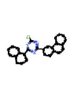 Clc1nc(-c2ccc3ccc4ccccc4c3c2)nc(-c2cccc3ccccc23)n1